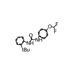 CC(C)(C)c1ccccc1NC(=O)Nc1ccc(OC(F)F)cc1